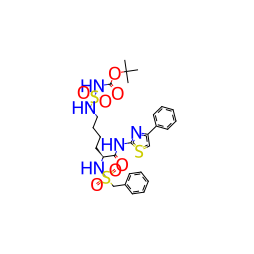 CC(C)(C)OC(=O)NS(=O)(=O)NCCCC[C@H](NS(=O)(=O)Cc1ccccc1)C(=O)Nc1nc(-c2ccccc2)cs1